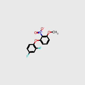 COc1cccc(Oc2ccc(F)cc2F)c1[N+](=O)[O-]